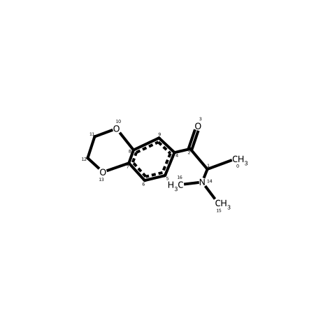 CC(C(=O)c1ccc2c(c1)OCCO2)N(C)C